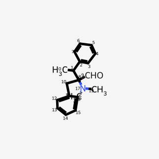 CC(c1ccccc1)C(C=O)(Cc1ccccc1)N(C)C